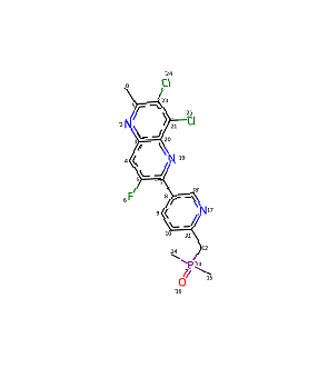 Cc1nc2cc(F)c(-c3ccc(CP(C)(C)=O)nc3)nc2c(Cl)c1Cl